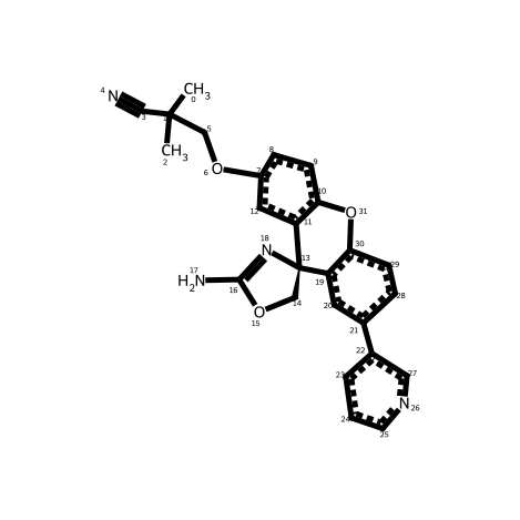 CC(C)(C#N)COc1ccc2c(c1)[C@]1(COC(N)=N1)c1cc(-c3cccnc3)ccc1O2